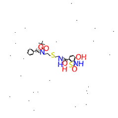 C[C@H](CN(CCCSCCNC[C@H](O)c1ccc(O)c2[nH]c(=O)sc12)C(=O)OC(C)(C)C)c1ccccc1